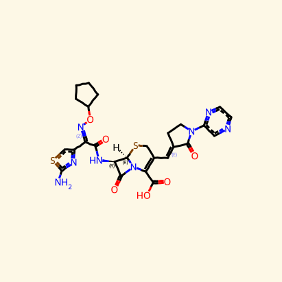 Nc1nc(/C(=N/OC2CCCC2)C(=O)N[C@@H]2C(=O)N3C(C(=O)O)=C(/C=C4\CCN(c5cnccn5)C4=O)CS[C@H]23)cs1